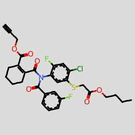 C#CCOC(=O)C1=C(C(=O)N(C(=O)c2cccc(F)c2)c2cc(SCC(=O)OCCCC)c(Cl)cc2F)CCCC1